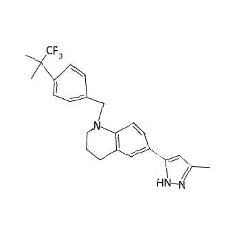 Cc1cc(-c2ccc3c(c2)CCCN3Cc2ccc(C(C)(C)C(F)(F)F)cc2)[nH]n1